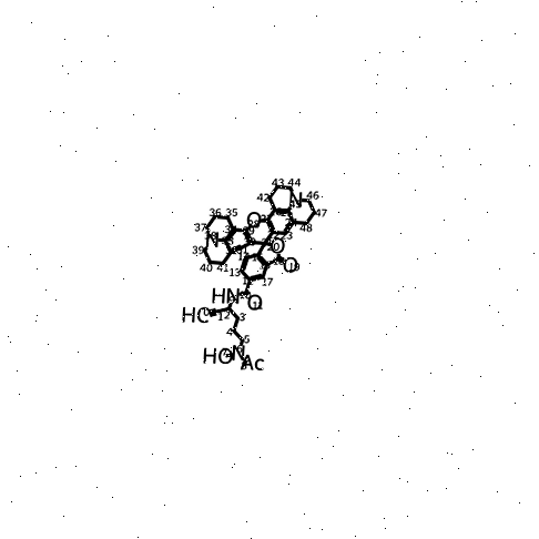 C#CC(CCCN(O)C(C)=O)NC(=O)c1ccc2c(c1)C(=O)OC21c2cc3c4c(c2Oc2c1cc1c5c2CCCN5CCC1)CCCN4CCC3